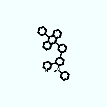 CN(c1ccccc1)c1ccc(-c2cccc(-c3c4ccccc4c(-c4ccccc4)c4ccccc34)c2)cc1-c1cccnc1